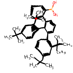 CC(C)(C)c1ccc(-c2cccc(-c3ccccc3P(O)O)c2-c2ccc(C(C)(C)C)cc2C(C)(C)C)c(C(C)(C)C)c1